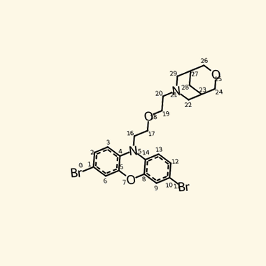 Brc1ccc2c(c1)Oc1cc(Br)ccc1N2CCOCCN1CC2COCC(C2)C1